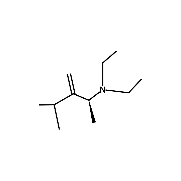 C=C(C(C)C)[C@H](C)N(CC)CC